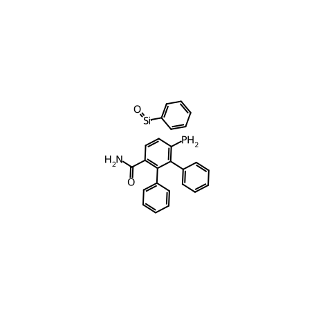 NC(=O)c1ccc(P)c(-c2ccccc2)c1-c1ccccc1.O=[Si]c1ccccc1